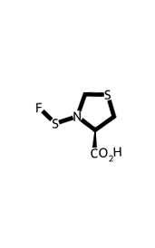 O=C(O)[C@@H]1CSCN1SF